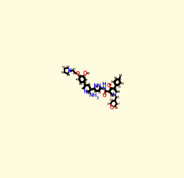 COc1cc(-c2cnc(N)c(-c3ccc(NC(=O)c4cn(CC5CCOCC5)cc(-c5ccc(C)cc5)c4=O)nn3)c2)ccc1OCCN1CCCC1